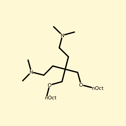 CCCCCCCCOCC(CCN(C)C)(CCN(C)C)COCCCCCCCC